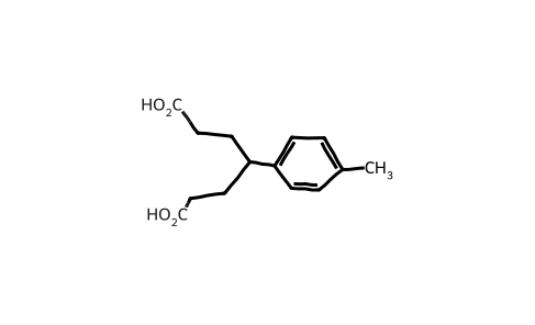 Cc1ccc(C(CCC(=O)O)CCC(=O)O)cc1